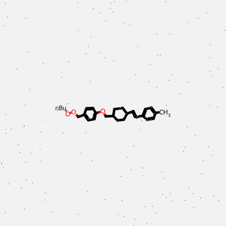 [CH2+][CH-]CCOOCc1ccc(OCC2CCC(C=Cc3ccc(C)cc3)CC2)cc1